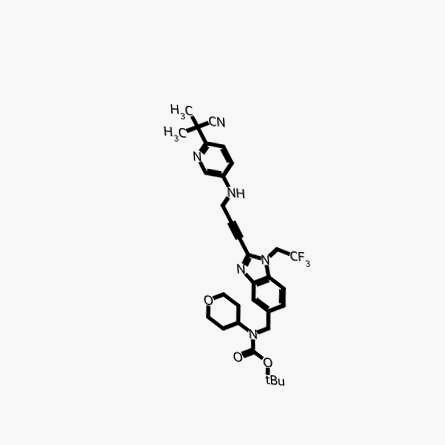 CC(C)(C)OC(=O)N(Cc1ccc2c(c1)nc(C#CCNc1ccc(C(C)(C)C#N)nc1)n2CC(F)(F)F)C1CCOCC1